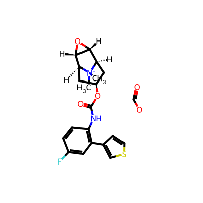 C[N+]1(C)[C@@H]2C[C@@H](OC(=O)Nc3ccc(F)cc3-c3ccsc3)C[C@H]1[C@@H]1O[C@@H]12.O=C[O-]